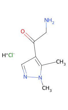 Cc1c(C(=O)CN)cnn1C.[Cl-].[H+]